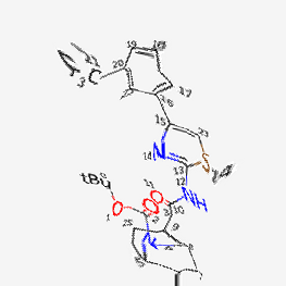 CC(C)(C)OC(=O)N1C2CCC1C(C(=O)Nc1nc(-c3cccc(C(F)(F)F)c3)cs1)C2